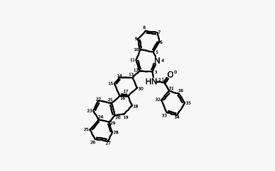 O=C(Nc1nc2ccccc2cc1C1C=CC2=C(CCc3c2ccc2ccccc32)C1)c1ccccc1